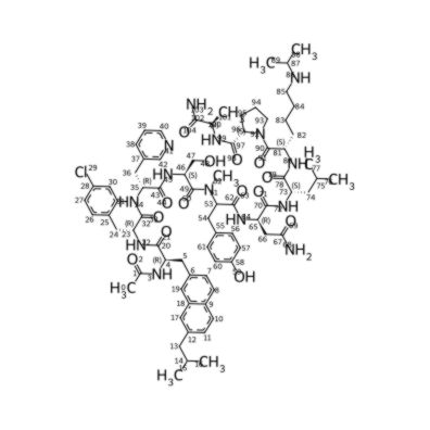 CC(=O)N[C@H](Cc1ccc2ccc(CC(C)C)cc2c1)C(=O)N[C@H](Cc1ccc(Cl)cc1)C(=O)N[C@H](Cc1cccnc1)C(=O)N[C@@H](CO)C(=O)N(C)C(Cc1ccc(O)cc1)C(=O)N[C@H](CC(N)=O)C(=O)N[C@@H](CC(C)C)C(=O)N[C@@H](CCCCNC(C)C)C(=O)N1CCC[C@H]1C(=O)N[C@H](C)C(N)=O